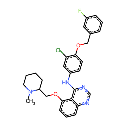 CN1CCCCC1COc1cccc2ncnc(Nc3ccc(OCc4cccc(F)c4)c(Cl)c3)c12